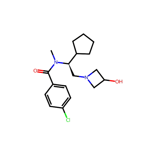 CN(C(=O)c1ccc(Cl)cc1)[C@H](CN1CC(O)C1)C1CCCC1